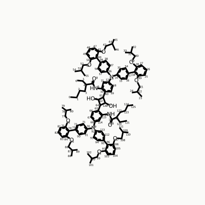 CCCCC(CC)C(=O)Nc1cc(N(c2ccc(-c3c(OCC(C)C)cccc3OCC(C)C)cc2)c2ccc(-c3c(OCC(C)C)cccc3OCC(C)C)cc2)ccc1C1C(O)C(c2ccc(N(c3ccc(-c4c(OCC(C)C)cccc4OCC(C)C)cc3)c3ccc(-c4c(OCC(C)C)cccc4OCC(C)C)cc3)cc2NC(=O)C(CC)CCCC)C1O